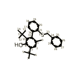 Cc1cc(C(C)(C)C)c(O)c(C(C)(C)C)c1-c1ccccc1SCc1ccccc1